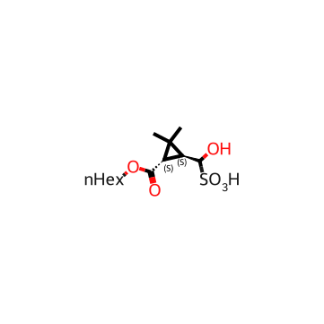 CCCCCCOC(=O)[C@H]1[C@H](C(O)S(=O)(=O)O)C1(C)C